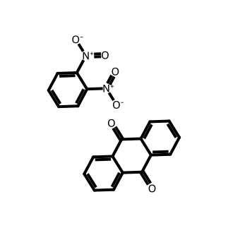 O=C1c2ccccc2C(=O)c2ccccc21.O=[N+]([O-])c1ccccc1[N+](=O)[O-]